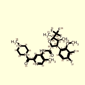 COc1c([C@H]2[C@H](C(=O)Nc3cc(C(=O)N4CCN(C)CC4)ncc3C)O[C@@](C)(C(F)(F)F)[C@H]2C)ccc(F)c1F